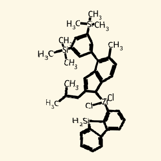 Cc1ccc2c(c1-c1cc([Si](C)(C)C)cc([Si](C)(C)C)c1)C=C(CC(C)C)[CH]2[Zr]([Cl])([Cl])[c]1cccc2c1[SiH2]c1ccccc1-2